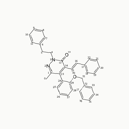 Cc1nn(CCc2ccccc2)c(=O)c(C=Cc2ccccc2)c1-c1ccccc1OCc1ccccc1